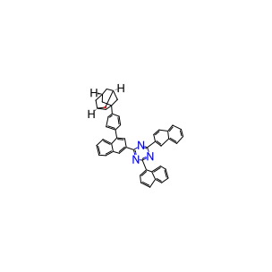 c1ccc2cc(-c3nc(-c4cc(-c5ccc(C67C[C@H]8C[C@@H](C6)C[C@@H](C7)C8)cc5)c5ccccc5c4)nc(-c4cccc5ccccc45)n3)ccc2c1